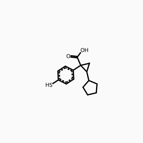 O=C(O)C1(c2ccc(S)cc2)CC1C1CCCC1